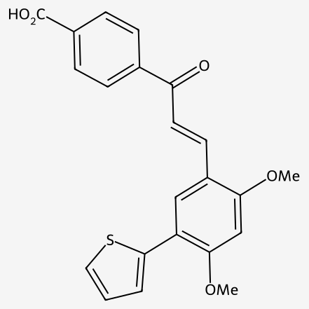 COc1cc(OC)c(-c2cccs2)cc1C=CC(=O)c1ccc(C(=O)O)cc1